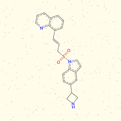 O=S(=O)(CC=Cc1cccc2cccnc12)n1ccc2cc(C3CNC3)ccc21